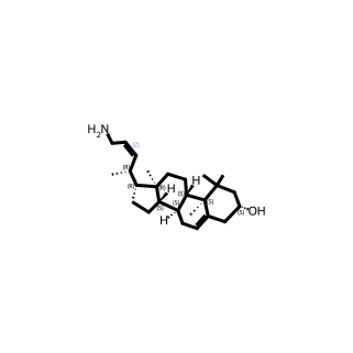 C[C@H](/C=C\CN)[C@H]1CC[C@H]2[C@@H]3CC=C4C[C@@H](O)CC(C)(C)[C@]4(C)[C@H]3CC[C@]12C